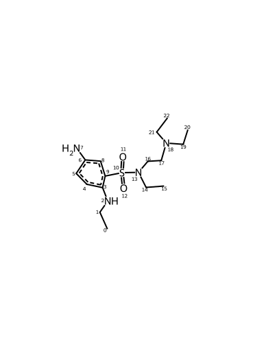 CCNc1ccc(N)cc1S(=O)(=O)N(CC)CCN(CC)CC